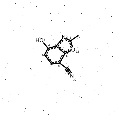 Cc1nc2c(O)ccc(C#N)c2o1